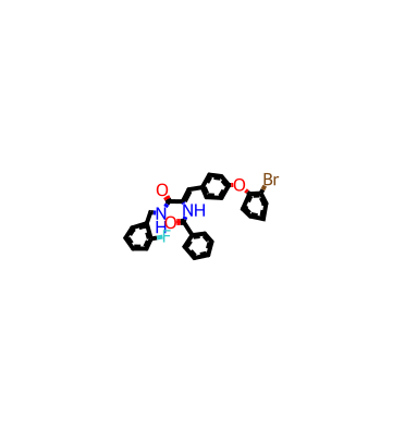 O=C(NCc1ccccc1F)/C(=C/c1ccc(Oc2ccccc2Br)cc1)NC(=O)c1ccccc1